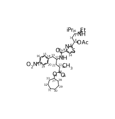 CCN[C@H](C[C@@H](OC(C)=O)c1nc(C(=O)NC(Cc2ccc([N+](=O)[O-])cc2)C[C@H](C)C(=O)OC2CCCCCC2)cs1)C(C)C